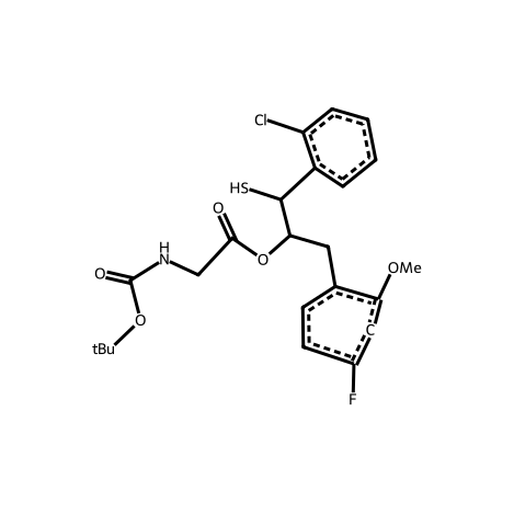 COc1cc(F)ccc1CC(OC(=O)CNC(=O)OC(C)(C)C)C(S)c1ccccc1Cl